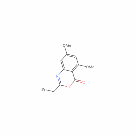 COc1cc(OC)c2c(=O)oc(CC(C)C)nc2c1